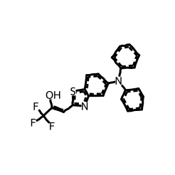 O/C(=C\c1nc2cc(N(c3ccccc3)c3ccccc3)ccc2s1)C(F)(F)F